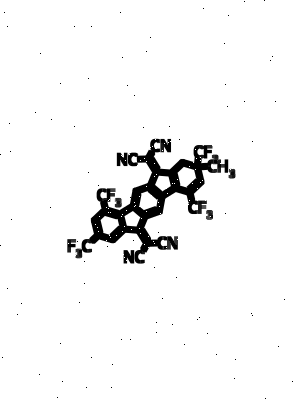 CC1(C(F)(F)F)C=C(C(F)(F)F)C2=C(C1)C(=C(C#N)C#N)c1cc3c(cc12)C(=C(C#N)C#N)c1cc(C(F)(F)F)cc(C(F)(F)F)c1-3